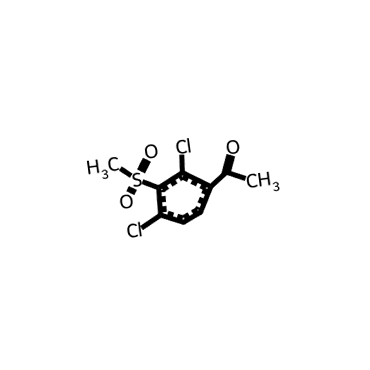 CC(=O)c1ccc(Cl)c(S(C)(=O)=O)c1Cl